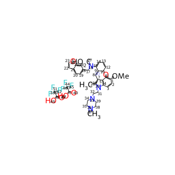 COc1ccc2c(c1)c(/C=C1\C(=O)C=CC=C1N(Cc1ccc3ccoc3c1)C(=O)O)c(C)n2CCN1CCN(C)CC1.O=C(O)C(F)(F)F.O=C(O)C(F)(F)F